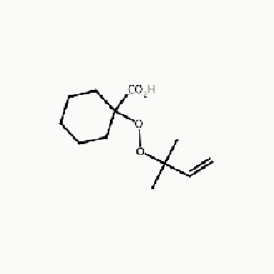 C=CC(C)(C)OOC1(C(=O)O)CCCCC1